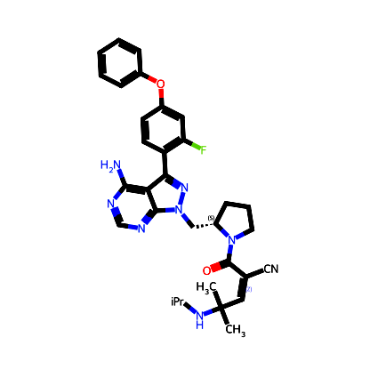 CC(C)NC(C)(C)/C=C(/C#N)C(=O)N1CCC[C@H]1Cn1nc(-c2ccc(Oc3ccccc3)cc2F)c2c(N)ncnc21